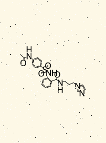 CC(=O)Nc1ccc(S(=O)(=O)Nc2ccccc2C(=O)NCCCn2ccnc2)cc1